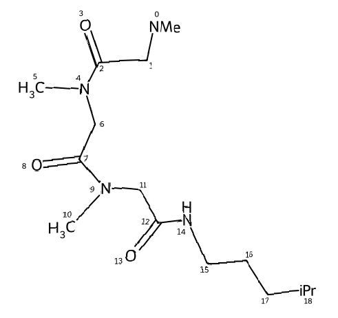 CNCC(=O)N(C)CC(=O)N(C)CC(=O)NCCCC(C)C